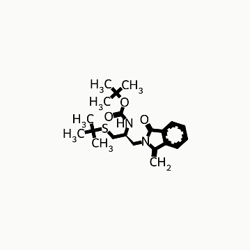 C=C1c2ccccc2C(=O)N1C[C@@H](CSC(C)(C)C)NC(=O)OC(C)(C)C